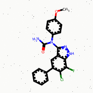 COc1ccc(N(C(N)=O)c2n[nH]c3c(F)c(Cl)c(-c4ccccc4)cc23)cc1